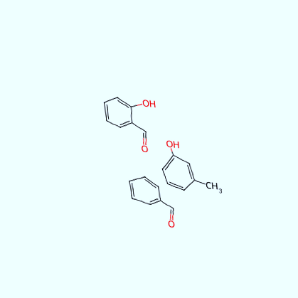 Cc1cccc(O)c1.O=Cc1ccccc1.O=Cc1ccccc1O